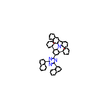 c1ccc(-c2cc(-c3nc(-c4cccc5ccccc45)nc(-c4cccc5ccccc45)n3)cc(-c3ccccc3)c2-n2c3ccccc3c3cc4ccccc4cc32)cc1